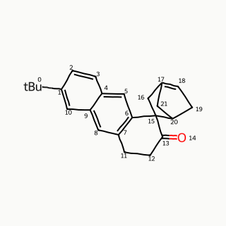 CC(C)(C)c1ccc2cc3c(cc2c1)CCC(=O)C31CC2=CCC1C2